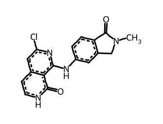 CN1Cc2cc(Nc3nc(Cl)cc4cc[nH]c(=O)c34)ccc2C1=O